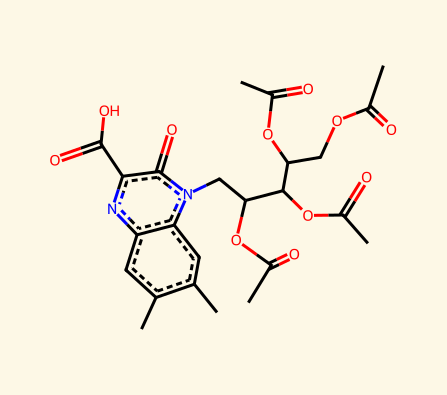 CC(=O)OCC(OC(C)=O)C(OC(C)=O)C(Cn1c(=O)c(C(=O)O)nc2cc(C)c(C)cc21)OC(C)=O